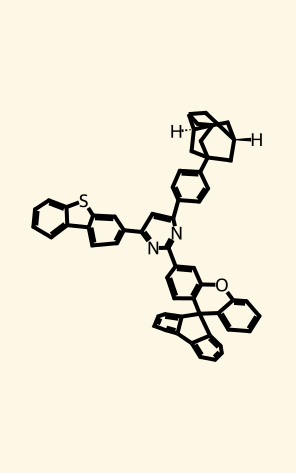 c1ccc2c(c1)Oc1cc(-c3nc(-c4ccc(C56C[C@@H]7CC8CC(C7)(C5)[C@H]8C6)cc4)cc(-c4ccc5c(c4)sc4ccccc45)n3)ccc1C21c2ccccc2-c2ccccc21